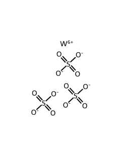 O=S(=O)([O-])[O-].O=S(=O)([O-])[O-].O=S(=O)([O-])[O-].[W+6]